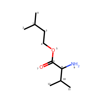 CC(C)[CH]COC(=O)C(N)C(C)C